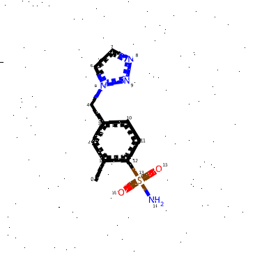 Cc1cc(Cn2ccnn2)ccc1S(N)(=O)=O